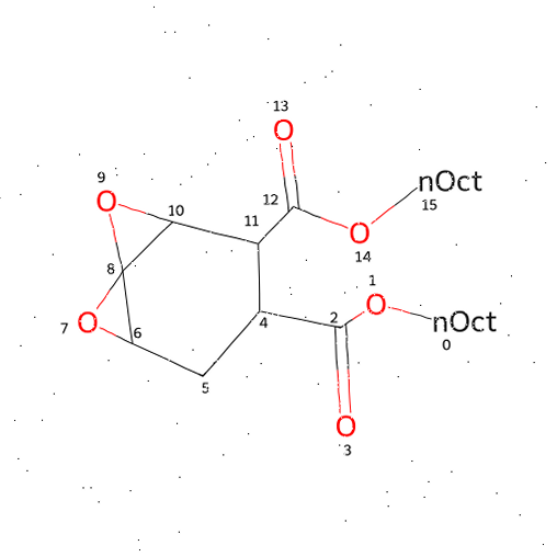 CCCCCCCCOC(=O)C1CC2OC23OC3C1C(=O)OCCCCCCCC